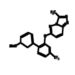 COC1C=CC=C(c2ccc(C(F)(F)F)cc2Oc2ccc3nnc(C(F)(F)F)n3n2)C1